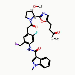 CCO[C@H]1CCN(C(=O)Cc2cc(CI)c(NC(=O)c3cn(C)c4ccccc34)cc2F)[C@@H]1c1ncc(CCC(=O)OC)o1